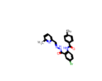 Cc1cccc(/C=N/NC(=O)c2cc(Br)ccc2NC(=O)c2ccc(C(C)(C)C)cc2)n1